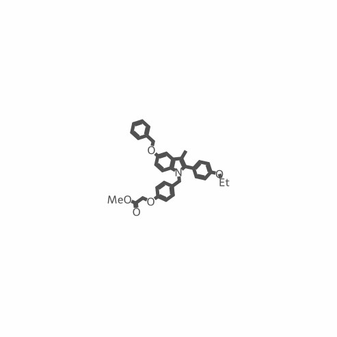 CCOc1ccc(-c2c(C)c3cc(OCc4ccccc4)ccc3n2Cc2ccc(OCC(=O)OC)cc2)cc1